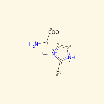 CCc1[nH]cc[n+]1C.NCC(=O)[O-]